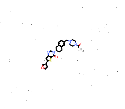 CC(=O)N1CCN(Cc2ccc3c(c2)CC[C@H](n2cnc4cc(-c5ccoc5)sc4c2=O)C3)CC1